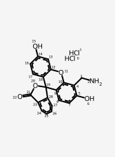 Cl.Cl.NCc1c(O)ccc2c1Oc1cc(O)ccc1C21OC(=O)c2ccccc21